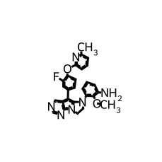 COc1c(N)cccc1N1CCn2c1c(-c1ccc(Oc3cccc(C)n3)c(F)c1)c1cncnc12